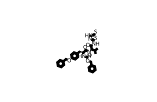 CC(C)[C@H](NC(=O)[C@H](Cc1ccc(OCc2ccccc2)cc1)NC(=O)OCc1ccccc1)C(=O)Nc1n[nH]c(=S)s1